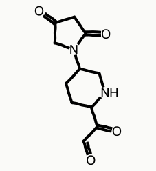 O=CC(=O)C1CCC(N2CC(=O)CC2=O)CN1